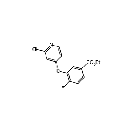 CCOC(=O)c1ccc(F)c(Oc2ccnc(Cl)c2)c1